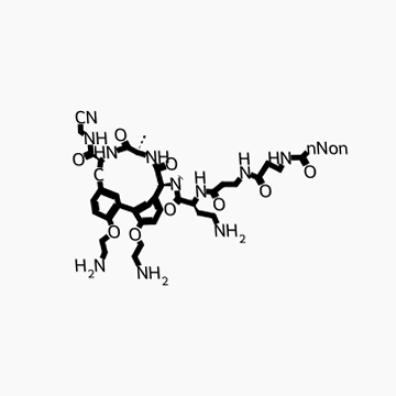 CCCCCCCCCC(=O)NCCC(=O)NCCC(=O)N[C@@H](CCN)C(=O)N(C)[C@@H]1C(=O)N[C@@H](C)C(=O)N[C@H](C(=O)NCC#N)Cc2ccc(OCCN)c(c2)-c2cc1ccc2OCCN